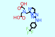 O=C(O)CN(CC(=O)O)Cc1nccc2nc(Nc3ccc(C(F)(F)F)cc3)nn12